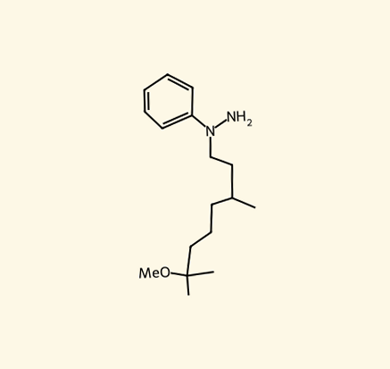 COC(C)(C)CCCC(C)CCN(N)c1ccccc1